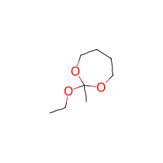 CCOC1(C)OCCCCO1